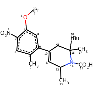 Cc1cc([N+](=O)[O-])c(OC(C)C)cc1C1=CC(C)N(C(=O)O)C(C)(C(C)(C)C)C1